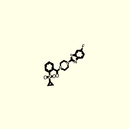 O=C(c1ccccc1S(=O)(=O)C1CC1)N1CCN(c2nc3ccc(F)cc3s2)CC1